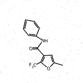 Cc1cc(C(=O)Nc2[c]cccc2)c(C(F)(F)F)o1